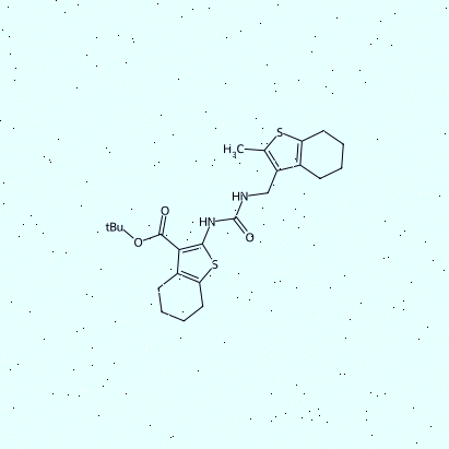 Cc1sc2c(c1CNC(=O)Nc1sc3c(c1C(=O)OC(C)(C)C)CCCC3)CCCC2